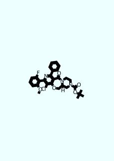 COc1cccc(F)c1-c1nc(-c2ccccc2)c2c(c1Cl)OC[C@H]1CN(C(=O)OC(C)(C)C)CCN1C2=O